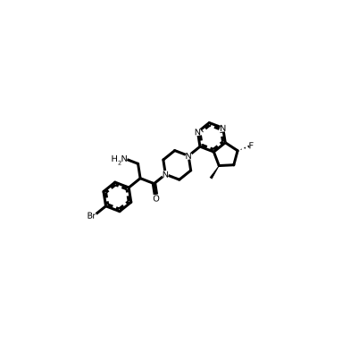 C[C@@H]1C[C@@H](F)c2ncnc(N3CCN(C(=O)C(CN)c4ccc(Br)cc4)CC3)c21